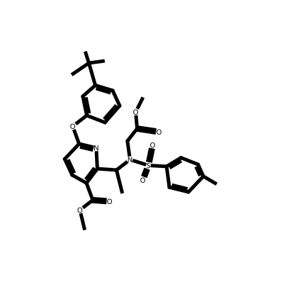 COC(=O)CN(C(C)c1nc(Oc2cccc(C(C)(C)C)c2)ccc1C(=O)OC)S(=O)(=O)c1ccc(C)cc1